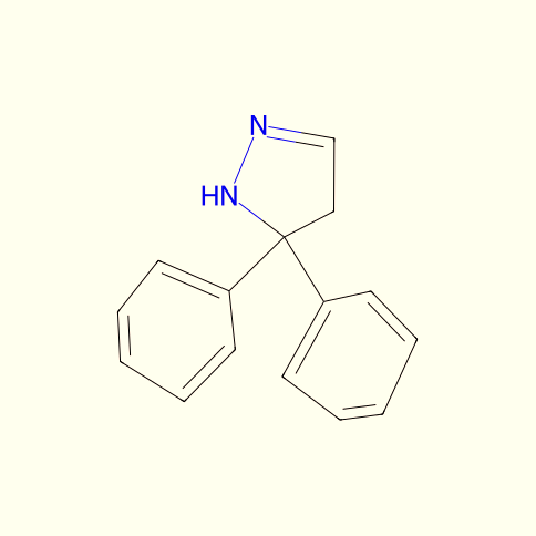 C1=NNC(c2ccccc2)(c2ccccc2)C1